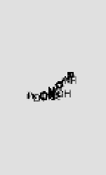 CC(C)Oc1ccc(-c2nc(-c3ccc(CNC4CCC4)cc3)no2)cc1.O=CO